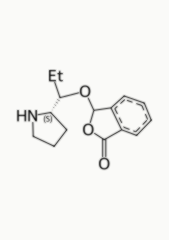 CCC(OC1OC(=O)c2ccccc21)[C@@H]1CCCN1